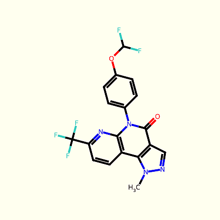 Cn1ncc2c(=O)n(-c3ccc(OC(F)F)cc3)c3nc(C(F)(F)F)ccc3c21